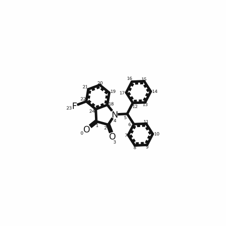 O=C1C(=O)N(C(c2ccccc2)c2ccccc2)c2cccc(F)c21